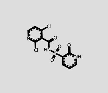 O=C(NS(=O)(=O)c1ccc[nH]c1=O)c1c(Cl)ccnc1Cl